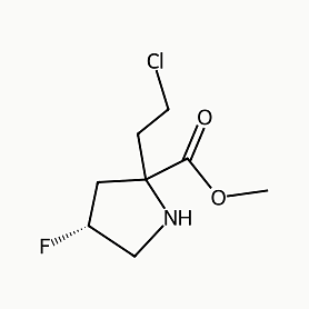 COC(=O)C1(CCCl)C[C@@H](F)CN1